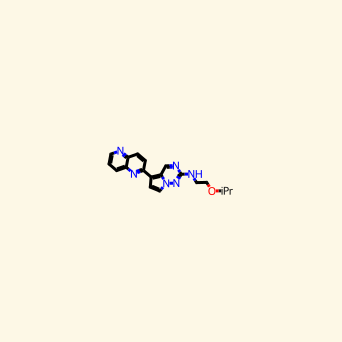 CC(C)OCCNc1ncc2c(-c3ccc4ncccc4n3)ccn2n1